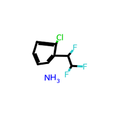 FC(F)C(F)c1ccccc1Cl.N